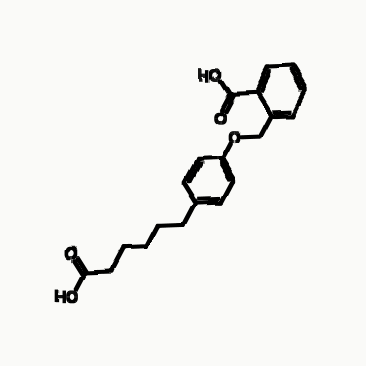 O=C(O)CCCCCc1ccc(OCc2ccccc2C(=O)O)cc1